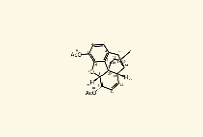 CC(=O)Oc1ccc2c3c1O[C@H]1[C@@H](OC(C)=O)C=C[C@H]4C(C2)N(C)CC[C@@]341